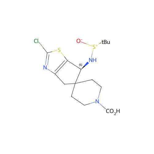 CC(C)(C)[S+]([O-])N[C@@H]1c2sc(Cl)nc2CC12CCN(C(=O)O)CC2